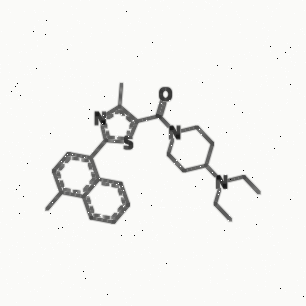 CCN(CC)C1CCN(C(=O)c2sc(-c3ccc(C)c4ccccc34)nc2C)CC1